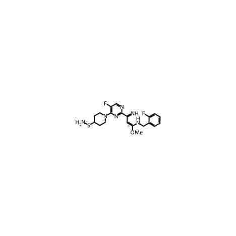 CO/C(=C/C(=N)c1ncc(F)c(N2CCC(SN)CC2)n1)NCc1ccccc1F